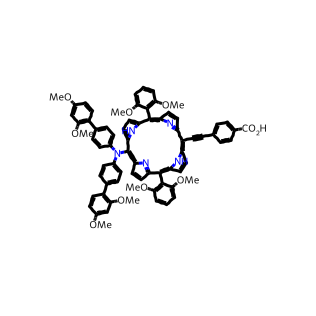 COc1ccc(-c2ccc(N(c3ccc(-c4ccc(OC)cc4OC)cc3)c3c4nc(c(-c5c(OC)cccc5OC)c5ccc([nH]5)c(C#Cc5ccc(C(=O)O)cc5)c5nc(c(-c6c(OC)cccc6OC)c6ccc3[nH]6)C=C5)C=C4)cc2)c(OC)c1